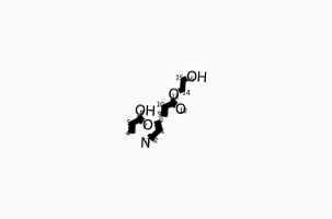 C=CC#N.C=CC(=O)O.C=CC(=O)OCCO